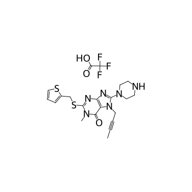 CC#CCn1c(N2CCNCC2)nc2nc(SCc3cccs3)n(C)c(=O)c21.O=C(O)C(F)(F)F